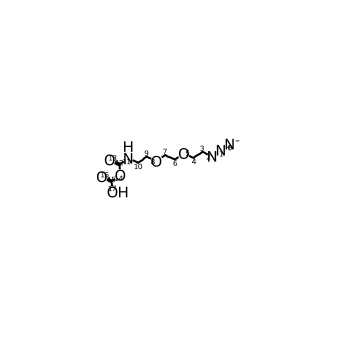 [N-]=[N+]=NCCOCCOCCNC(=O)OC(=O)O